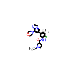 Cc1cc(F)c(NC(=O)C2CCN(CC(F)(F)F)C2)cc1-c1cc(N2CCOCC2)c2nccn2c1